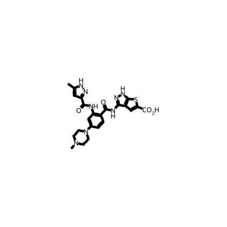 Cc1cc(C(=O)Nc2cc(N3CCN(C)CC3)ccc2C(=O)Nc2n[nH]c3sc(C(=O)O)cc23)n[nH]1